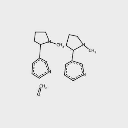 C=O.CN1CCCC1c1cccnc1.CN1CCCC1c1cccnc1